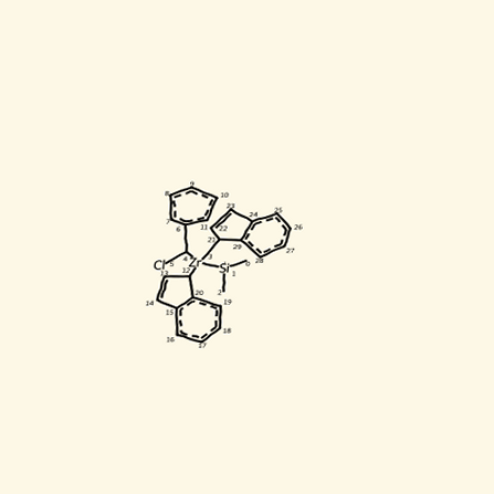 C[Si](C)[Zr]([CH](Cl)c1ccccc1)([CH]1C=Cc2ccccc21)[CH]1C=Cc2ccccc21